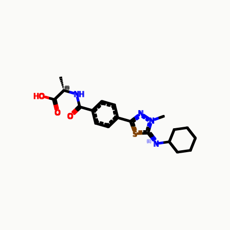 C[C@H](NC(=O)c1ccc(-c2nn(C)/c(=N\C3CCCCC3)s2)cc1)C(=O)O